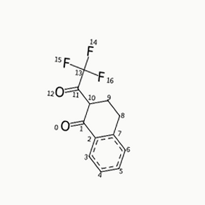 O=C1c2ccccc2CCC1C(=O)C(F)(F)F